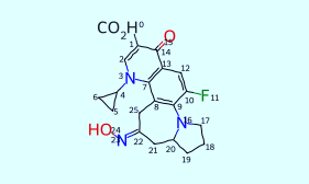 O=C(O)c1cn(C2CC2)c2c3c(c(F)cc2c1=O)N1CCCC1CC(=NO)C3